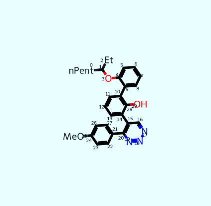 CCCCCC(CC)Oc1ccccc1-c1cccc(-c2cnnnc2-c2ccc(OC)cc2)c1O